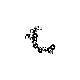 CC(C)(C)OC(=O)c1ccc2nc(CN3CCC(c4cccc(OCc5cnc6ccccc6c5)n4)CC3)n(C[C@@H]3CCO3)c2c1